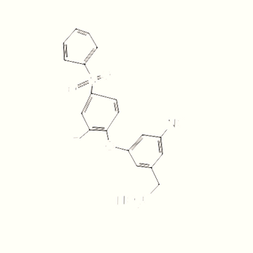 [C-]#[N+]c1cc(CC(=O)O)cc(Oc2ccc(S(=O)(=O)c3ccccc3)cc2F)c1